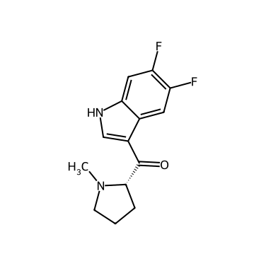 CN1CCC[C@H]1C(=O)c1c[nH]c2cc(F)c(F)cc12